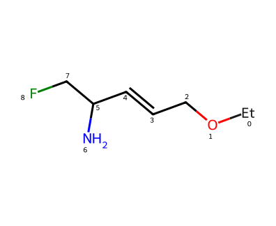 CCOCC=CC(N)CF